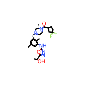 Cc1cc(CN2CCN(C(=O)C3CCC(F)(F)C3)[C@@H](C)C2)c(C)c(Nc2nnc(C(C)O)o2)c1